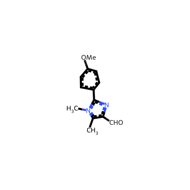 COc1ccc(-c2nc(C=O)c(C)n2C)cc1